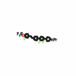 CCCC1CCC(c2ccc(-c3ccc(CCc4ccc(OC(F)(F)F)c(F)c4)cc3)c(F)c2F)CC1